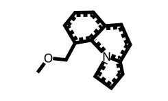 COCc1cccc2ccc3cccn3c12